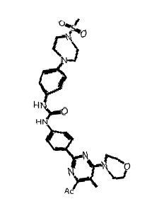 CC(=O)c1nc(-c2ccc(NC(=O)Nc3ccc(N4CCN(S(C)(=O)=O)CC4)cc3)cc2)nc(N2CCOCC2)c1C